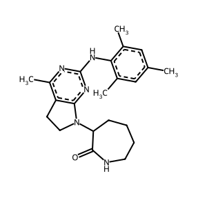 Cc1cc(C)c(Nc2nc(C)c3c(n2)N(C2CCCCNC2=O)CC3)c(C)c1